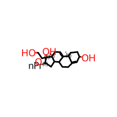 CCC[C@@H]1CC2C3CCC4=CC(O)CC[C@]4(C)C3=CC[C@]2(C)[C@@]1(O)C(=O)CO